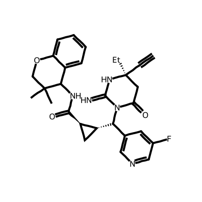 C#C[C@@]1(CC)CC(=O)N(C(c2cncc(F)c2)[C@@H]2C[C@H]2C(=O)NC2c3ccccc3OCC2(C)C)C(=N)N1